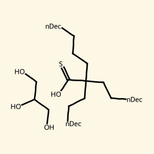 CCCCCCCCCCCCCC(CCCCCCCCCCCC)(CCCCCCCCCCCC)C(O)=S.OCC(O)CO